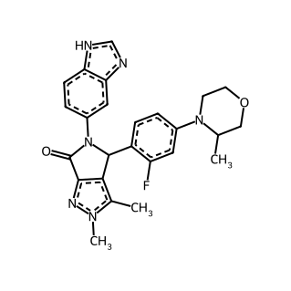 Cc1c2c(nn1C)C(=O)N(c1ccc3[nH]cnc3c1)C2c1ccc(N2CCOCC2C)cc1F